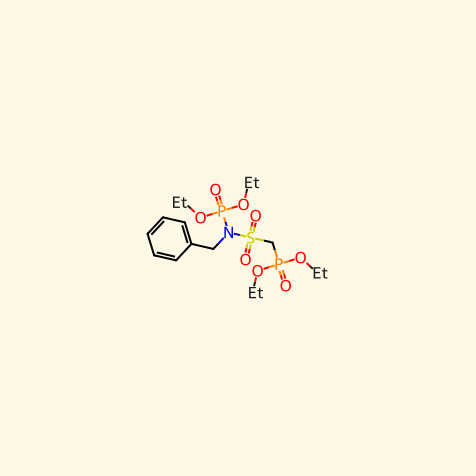 CCOP(=O)(CS(=O)(=O)N(Cc1ccccc1)P(=O)(OCC)OCC)OCC